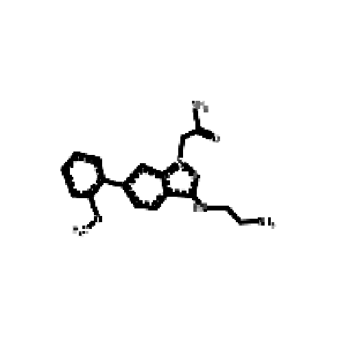 NCCNc1nn(CC(N)=O)c2cc(-c3ccccc3OC(F)(F)F)ccc12